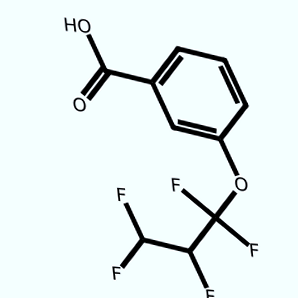 O=C(O)c1cccc(OC(F)(F)C(F)C(F)F)c1